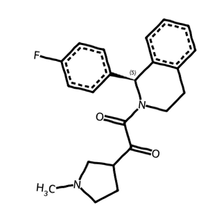 CN1CCC(C(=O)C(=O)N2CCc3ccccc3[C@@H]2c2ccc(F)cc2)C1